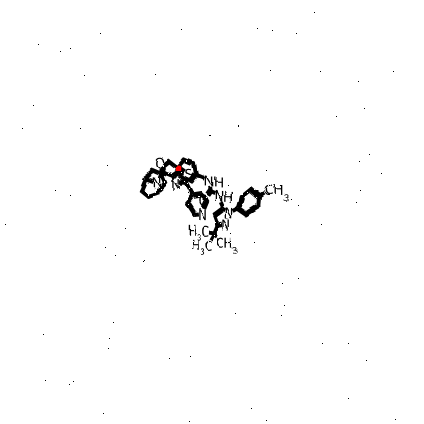 Cc1ccc(-n2nc(C(C)(C)C)cc2NC(=O)Nc2ccc(CC3CC4CCC(C3)N4C(=O)c3csc(-c4ccncc4)n3)cc2)cc1